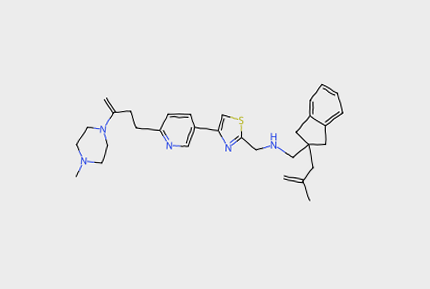 C=C(C)CC1(CNCc2nc(-c3ccc(CCC(=C)N4CCN(C)CC4)nc3)cs2)Cc2ccccc2C1